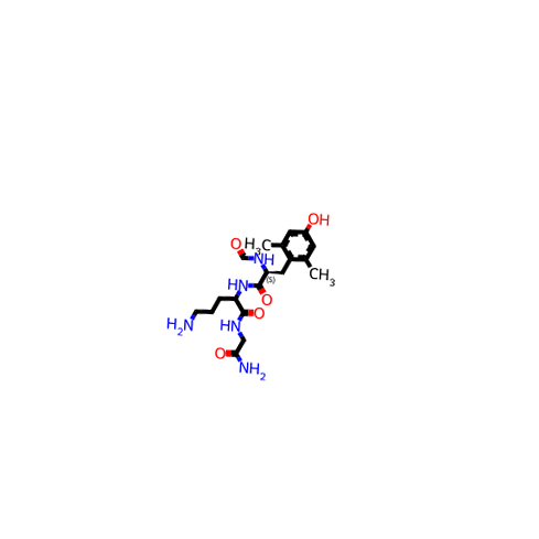 Cc1cc(O)cc(C)c1C[C@H](NC=O)C(=O)NC(CCCN)C(=O)NCC(N)=O